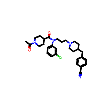 CC(=O)N1CCC(C(=O)N(CCCN2CCC(Cc3ccc(C#N)cc3)CC2)c2cccc(Cl)c2)CC1